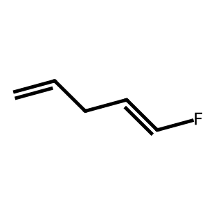 C=CCC=CF